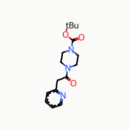 CC(C)(C)OC(=O)N1CCN(C(=O)Cc2ccccn2)CC1